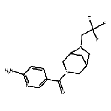 Nc1ccc(C(=O)N2CC3CC(C2)N(CC(F)(F)F)C3)cn1